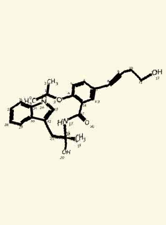 CC(C)Oc1ccc(C#CCCO)cc1C(=O)N[C@](C)(O)Cc1c[nH]c2ccccc12